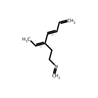 C=C/C=C/C(=C\C)CCN=C